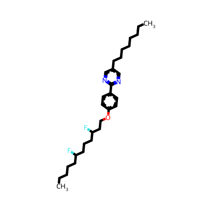 CCCCCCCCc1cnc(-c2ccc(OCCC(F)CCCC(F)CCCCC)cc2)nc1